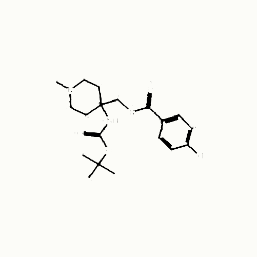 CN1CCC(CNC(=O)c2ccc(Cl)cc2)(NC(=O)OC(C)(C)C)CC1